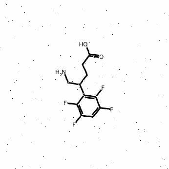 NCC(CCC(=O)O)c1c(F)c(F)cc(F)c1F